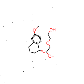 COc1ccc2c(c1)CCCC2=O.OCCOCCO